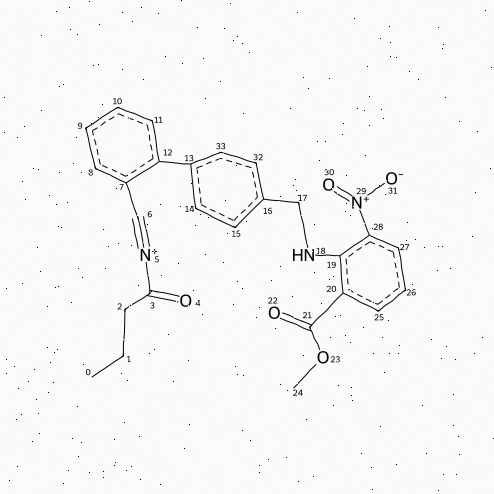 CCCC(=O)[N+]#Cc1ccccc1-c1ccc(CNc2c(C(=O)OC)cccc2[N+](=O)[O-])cc1